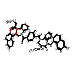 CNCC(=O)NC(C)CN(C(=O)c1ccc(C(=O)N2CC(NC=O)C(=O)N(Cc3c(OC)ccc4cc(Br)ccc34)c3ccccc32)c(C)c1)c1ccccc1N(C=O)Cc1c(O)ccc2cc(Br)ccc12